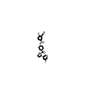 N#Cc1cc(NC[C@H]2CC[C@H](C(=O)N3OCC[C@H]3c3cncc(F)c3)CC2)ccc1F